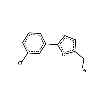 CC(C)Cc1ccc(-c2cccc(Cl)c2)o1